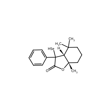 CC1(C)CCC[C@]2(C)OC(=O)C([SeH])(c3ccccc3)[C@H]12